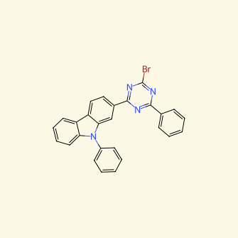 Brc1nc(-c2ccccc2)nc(-c2ccc3c4ccccc4n(-c4ccccc4)c3c2)n1